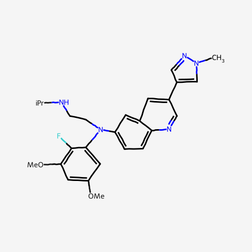 COc1cc(OC)c(F)c(N(CCNC(C)C)c2ccc3ncc(-c4cnn(C)c4)cc3c2)c1